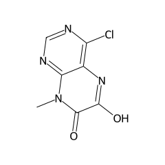 Cn1c(=O)c(O)nc2c(Cl)ncnc21